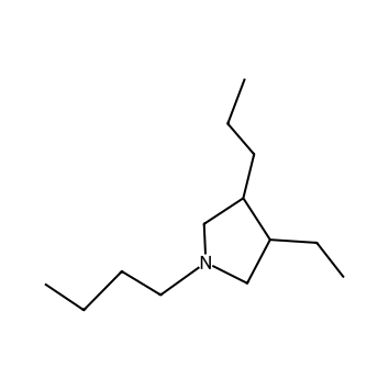 CCCCN1CC(CC)C(CCC)C1